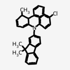 CC1C=CC=C(N(c2ccc(Cl)cc2)c2ccc3c(c2)C(C)(C)c2ccccc2-3)C1c1ccccc1